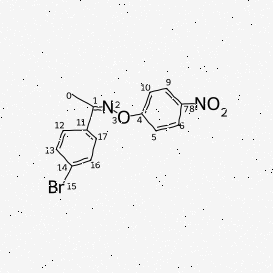 CC(=NOc1ccc([N+](=O)[O-])cc1)c1ccc(Br)cc1